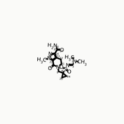 CN(C)C=NS(=O)(=O)C1(CN2CCc3c(C(N)=O)nn(C)c3C2=O)CC1